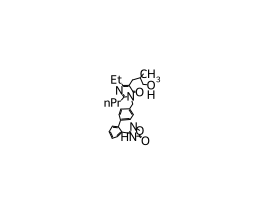 CCCc1nc(CC)c(CC(C)CO)c(=O)n1Cc1ccc(-c2ccccc2-c2noc(=O)[nH]2)cc1